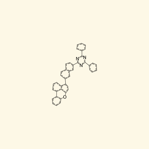 c1ccc(-c2nc(-c3ccccc3)nc(-c3ccc4ccc(-c5ccc6c7c(cccc57)-c5ccccc5O6)cc4c3)n2)cc1